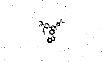 C=CC(=O)N1CCN(c2nc(N3CC(N(C)C)C3)nc3c2CCC(N2CCc4cccc(F)c42)C3)C[C@@H]1CC#N